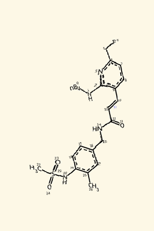 CCCCNc1nc(CF)ccc1/C=C/C(=O)NCc1ccc(NS(C)(=O)=O)c(C)c1